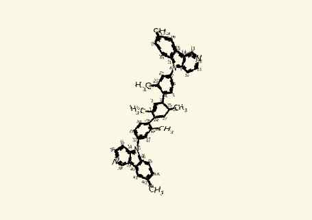 CC1=CC(c2ccc(-n3c4ccncc4c4cc(C)ccc43)cc2C)C(C)C=C1c1ccc(-n2c3ccncc3c3cc(C)ccc32)cc1C